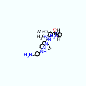 COc1cc(C(=O)N2C[C@H]3CC[C@@H]2[C@@H]3N)cc2nc(-c3cc4ccc(Nc5ccc(CN)cc5)nc4n3CC3CC3)n(C)c12